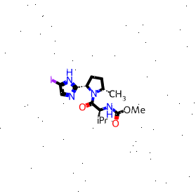 COC(=O)N[C@H](C(=O)N1[C@@H](C)CC[C@H]1c1ncc(I)[nH]1)C(C)C